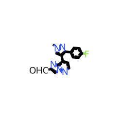 Cn1cc(-c2ccnn3cc(C=O)nc23)c(-c2ccc(F)cc2)n1